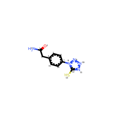 NC(=O)Cc1ccc(-n2nnnc2S)cc1